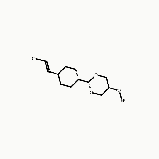 CCCO[C@H]1CO[C@H]([C@H]2CC[C@H](/C=C/Cl)CC2)OC1